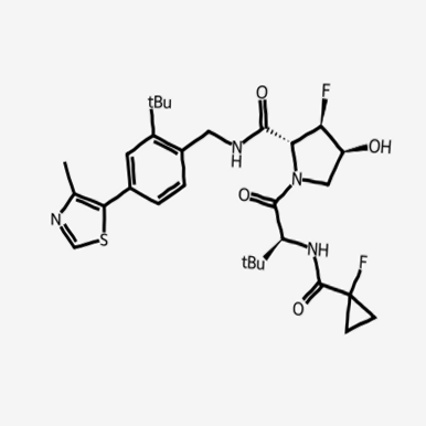 Cc1ncsc1-c1ccc(CNC(=O)[C@@H]2[C@@H](F)[C@@H](O)CN2C(=O)[C@@H](NC(=O)C2(F)CC2)C(C)(C)C)c(C(C)(C)C)c1